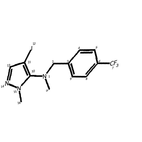 CN(Cc1ccc(C(F)(F)F)cc1)c1c(I)cnn1C